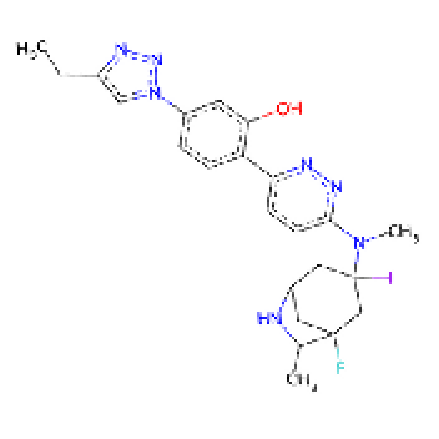 CCc1cn(-c2ccc(-c3ccc(N(C)C4(I)CC5CC(F)(C4)C(C)N5)nn3)c(O)c2)nn1